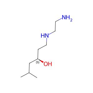 CC(C)C[C@H](O)CCNCCN